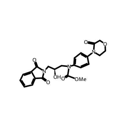 COC(=O)N(C[C@@H](O)CN1C(=O)c2ccccc2C1=O)c1ccc(N2CCOCC2=O)cc1